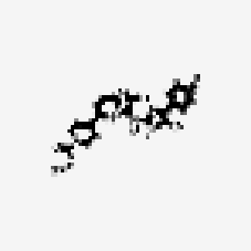 CCc1nc2ccc(C3=CCN(C(=O)OC(C)(C)C)CC3)nn2c1N(C)c1nc(-c2ccc(F)cc2)c(C#N)s1